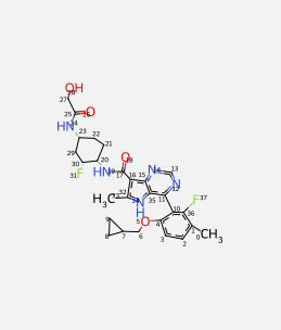 Cc1ccc(OCC2CC2)c(-c2ncnc3c(C(=O)N[C@H]4CC[C@@H](NC(=O)CO)C[C@H]4F)c(C)[nH]c23)c1F